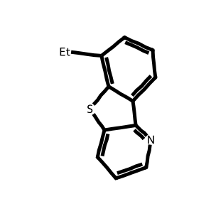 CCc1cccc2c1sc1cccnc12